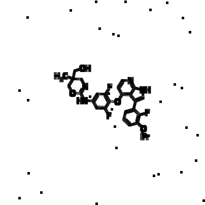 CC(C)Oc1cccc(-c2c[nH]c3nccc(Oc4c(F)cc(NC5=NCC(C)(CO)CO5)cc4F)c23)c1F